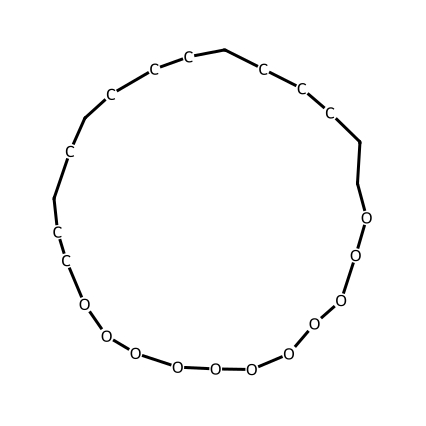 C1CCCCCCCOOOOOOOOOOOCCCCCC1